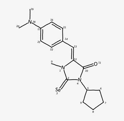 CN1C(=[Se])N(C2CCCC2)C(=O)C1=Cc1ccc(N(C)C)cc1